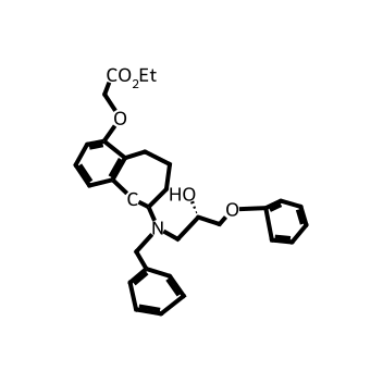 CCOC(=O)COc1cccc2c1CCCC(N(Cc1ccccc1)C[C@H](O)COc1ccccc1)C2